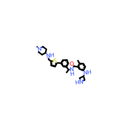 Cc1ccc(NC2CNC2)cc1C(=O)NC(C)c1cccc(-c2ccc(CNC3CCN(C)CC3)s2)c1